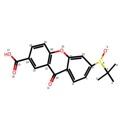 CC(C)(C)[S+]([O-])c1ccc2c(=O)c3cc(C(=O)O)ccc3oc2c1